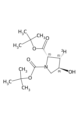 [2H][C@H]1[C@@H](C(=O)OC(C)(C)C)N(C(=O)OC(C)(C)C)C[C@@H]1O